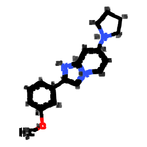 COc1cccc(-c2cn3ccc(N4CCCC4)cc3n2)c1